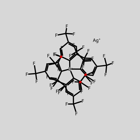 FC(F)(F)c1cc(C(F)(F)F)c([B-](c2c(C(F)(F)F)cc(C(F)(F)F)cc2C(F)(F)F)(c2c(C(F)(F)F)cc(C(F)(F)F)cc2C(F)(F)F)c2c(C(F)(F)F)cc(C(F)(F)F)cc2C(F)(F)F)c(C(F)(F)F)c1.[Ag+]